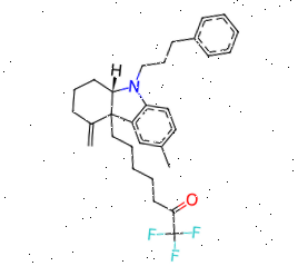 C=C1CCC[C@@H]2N(CCCc3ccccc3)c3ccc(C)cc3C12CCCCCC(=O)C(F)(F)F